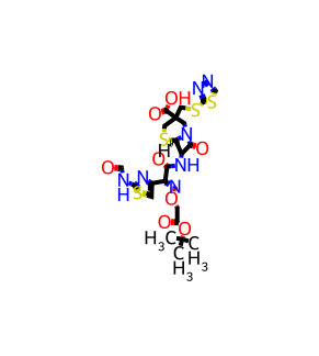 CC(C)(C)OC(=O)CON=C(C(=O)NC1C(=O)N2CC(CSc3nncs3)(C(=O)O)CS[C@H]12)c1csc(NC=O)n1